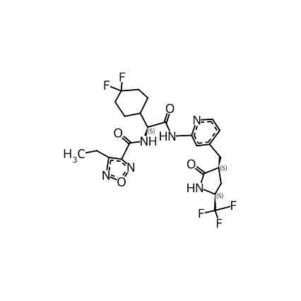 CCc1nonc1C(=O)N[C@H](C(=O)Nc1cc(C[C@H]2C[C@@H](C(F)(F)F)NC2=O)ccn1)C1CCC(F)(F)CC1